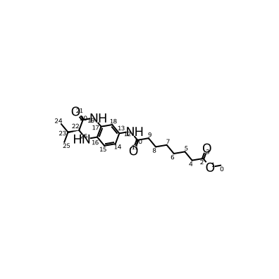 COC(=O)CCCCCCC(=O)Nc1ccc2c(c1)NC(=O)[C@H](C(C)C)N2